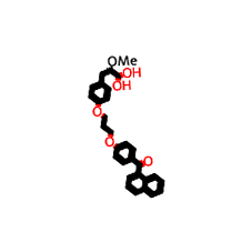 CO[C@@H](Cc1ccc(OCCCOc2ccc(C(=O)c3cccc4ccccc34)cc2)cc1)C(O)O